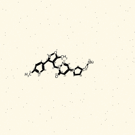 Cc1ccc(-c2noc(C)c2Cn2ncc(N3CC[C@@H](OC(C)(C)C)C3)cc2=O)cn1